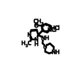 COc1ccccc1C1(NCN2CCNCC2)C=CN=C(C)N1.Cl.Cl